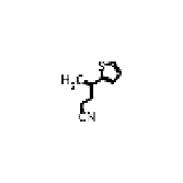 C=C(CCC#N)c1cccs1